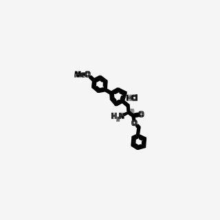 COc1ccc(-c2ccc(C[C@H](N)C(=O)OCc3ccccc3)cc2)cc1.Cl